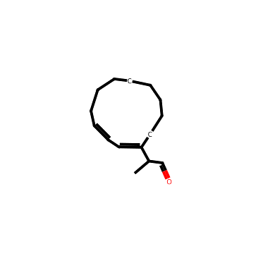 CC(C=O)C1=CC=CCCCCCCCC1